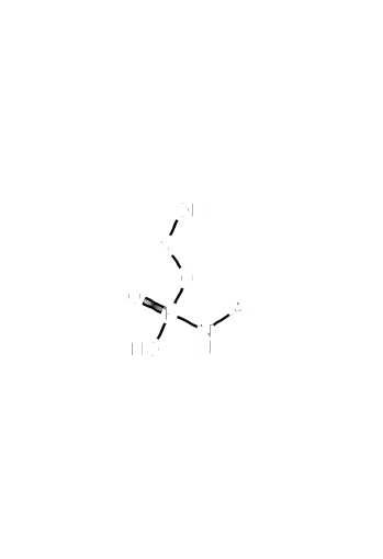 CC(=O)NP(=O)(O)OSO